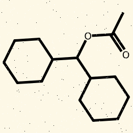 CC(=O)O[C](C1CCCCC1)C1CCCCC1